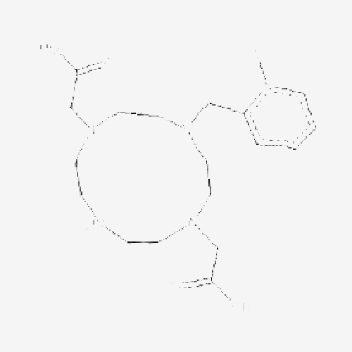 O=C(O)CN1CCNCCN(CC(=O)O)CCN(Cc2cccc[n+]2[O-])CC1